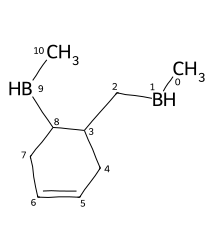 CBCC1CC=CCC1BC